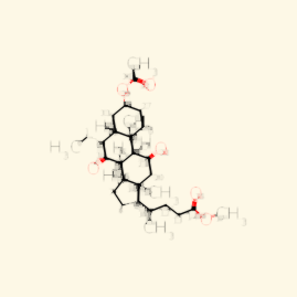 CC[C@H]1C(=O)[C@H]2[C@@H]3CC[C@H]([C@H](C)CCC(=O)OC)[C@@]3(C)CC(=O)[C@@H]2[C@@]2(C)CC[C@@H](OC(C)=O)C[C@@H]12